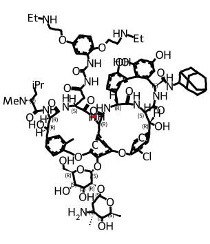 CCNCCOc1ccc(OCCNCC)c(NC(=O)NC(=O)C[C@@H]2NC(=O)[C@H](NC(=O)[C@@H](CC(C)C)NC)[C@H](O)c3ccc(c(C)c3)Oc3cc4cc(c3O[C@@H]3O[C@H](CO)[C@@H](O)[C@H](O)[C@H]3O[C@H]3C[C@](C)(N)[C@H](O)[C@H](C)O3)Oc3ccc(cc3Cl)[C@@H](O)[C@@H]3NC(=O)[C@H](NC(=O)[C@@H]4NC2=O)c2ccc(O)c(c2)-c2c(O)cc(O)cc2[C@@H](C(=O)NC2C4CC5CC(C4)CC2C5)NC3=O)c1